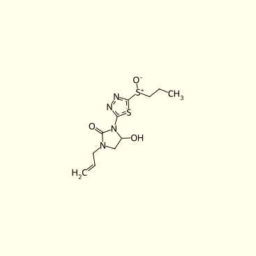 C=CCN1CC(O)N(c2nnc([S+]([O-])CCC)s2)C1=O